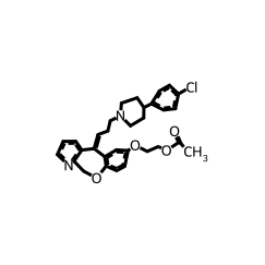 CC(=O)OCCOc1ccc2c(c1)C(=CCCN1CCC(c3ccc(Cl)cc3)CC1)c1cccnc1CO2